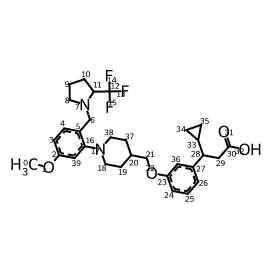 COc1ccc(CN2CCCC2C(F)(F)F)c(N2CCC(COc3cccc(C(CC(=O)O)C4CC4)c3)CC2)c1